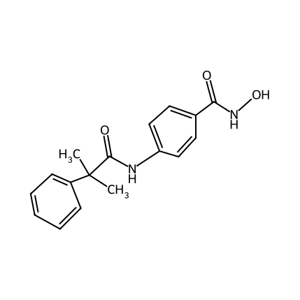 CC(C)(C(=O)Nc1ccc(C(=O)NO)cc1)c1ccccc1